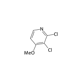 COc1ccnc(Cl)c1Cl